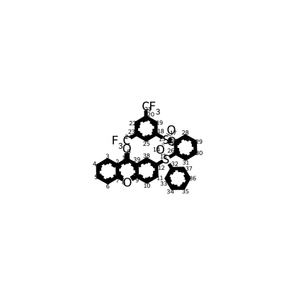 O=c1c2ccccc2oc2ccc(S(OS(=O)(=O)c3cc(C(F)(F)F)cc(C(F)(F)F)c3)(c3ccccc3)c3ccccc3)cc12